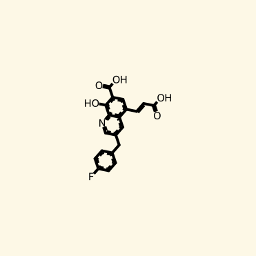 O=C(O)/C=C/c1cc(C(=O)O)c(O)c2ncc(Cc3ccc(F)cc3)cc12